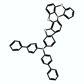 c1ccc(-c2ccc(N(c3ccc(-c4ccccc4)cc3)c3ccc4c(c3)oc3c5c(ccc34)B3c4ccccc4Oc4cccc(c43)O5)cc2)cc1